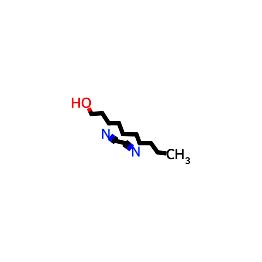 CCCCCCCCCCO.N#CC#N